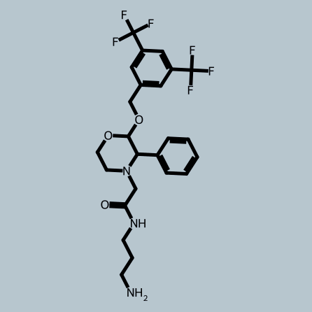 NCCCNC(=O)CN1CCOC(OCc2cc(C(F)(F)F)cc(C(F)(F)F)c2)C1c1ccccc1